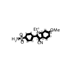 CCn1c(-c2ccc(S(N)(=O)=O)cc2)c(C#N)c2ccc(OC)cc21